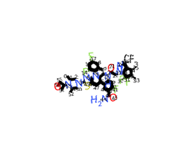 CC1CN(c2nc3nc([C@H](Cc4cc(F)cc(F)c4)NC(=O)Cn4nc(C(F)(F)F)c5c4C(F)(F)[C@H](C)[C@@H]5C)c(-c4ccc(F)c(C(N)=O)c4)cc3s2)CC(C)N1C1COC1